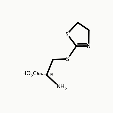 N[C@@H](CSC1=NCCS1)C(=O)O